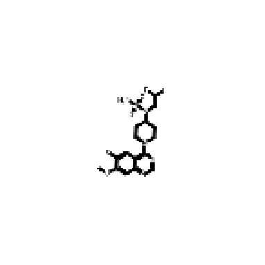 COc1cc2ncnc(N3CCC(N(CC(F)F)S(N)(=O)=O)CC3)c2cc1F